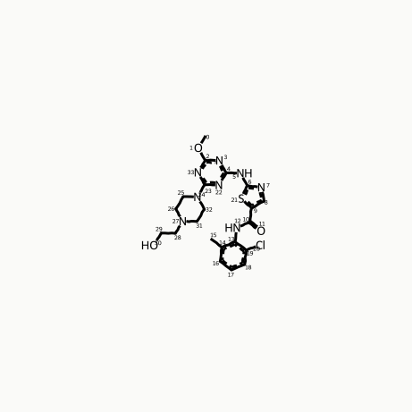 COc1nc(Nc2ncc(C(=O)Nc3c(C)cccc3Cl)s2)nc(N2CCN(CCO)CC2)n1